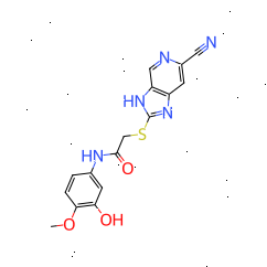 COc1ccc(NC(=O)CSc2nc3cc(C#N)ncc3[nH]2)cc1O